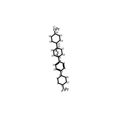 CCCC1CCC(c2ccc(C34CCC(C5CCC(CCC)CC5)(CC3)CC4)cc2)CC1